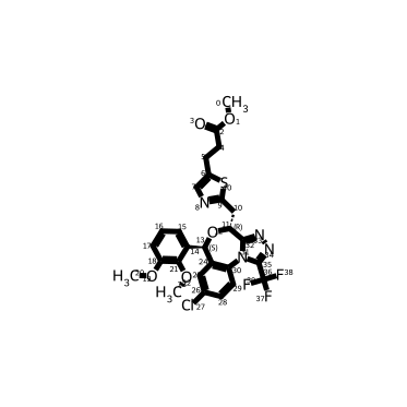 COC(=O)CCc1cnc(C[C@H]2O[C@H](c3cccc(OC)c3OC)c3cc(Cl)ccc3-n3c2nnc3C(F)(F)F)s1